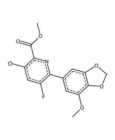 COC(=O)c1nc(-c2cc(OC)c3c(c2)OCO3)c(F)cc1Cl